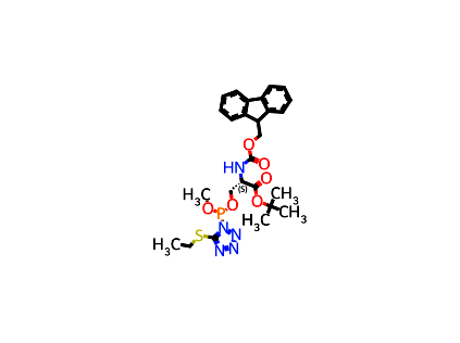 CCSc1nnnn1P(OC)OC[C@H](NC(=O)OCC1c2ccccc2-c2ccccc21)C(=O)OC(C)(C)C